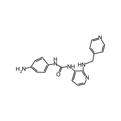 Nc1ccc(NC(=O)Nc2cccnc2NCc2ccncc2)cc1